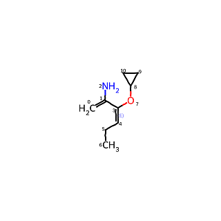 C=C(N)/C(=C\CC)OC1CC1